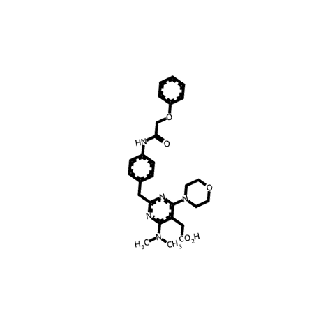 CN(C)c1nc(Cc2ccc(NC(=O)COc3ccccc3)cc2)nc(N2CCOCC2)c1CC(=O)O